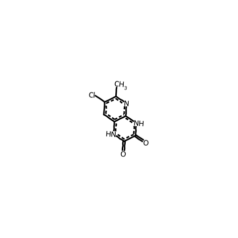 Cc1nc2[nH]c(=O)c(=O)[nH]c2cc1Cl